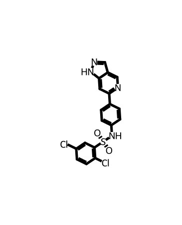 O=S(=O)(Nc1ccc(-c2cc3[nH]ncc3cn2)cc1)c1cc(Cl)ccc1Cl